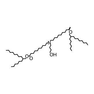 C=C(CCCCCCCCCN(CCCCO)CCCCCCCCCC(=O)OCC(CCCCCC)CCCCCCCC)OCC(CCCCCC)CCCCCCCC